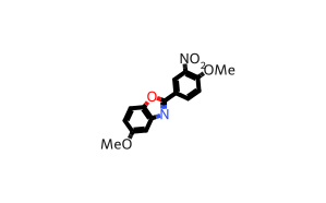 COc1ccc2oc(-c3ccc(OC)c([N+](=O)[O-])c3)nc2c1